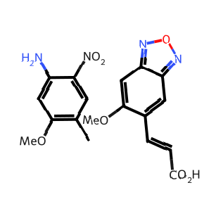 COc1cc(N)c([N+](=O)[O-])cc1C.COc1cc2nonc2cc1C=CC(=O)O